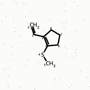 C=CC1=C(SC)CCC1